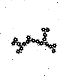 c1ccc(-n2c3ccccc3c3cc(-c4ccc(N(c5ccc(-c6ccc(-n7c8ccccc8c8ccccc87)cc6)cc5)c5ccc6oc7cc(-c8ccc(-n9c%10ccccc%10c%10cc(-c%11ccc(N(c%12ccc(-n%13c%14ccccc%14c%14ccccc%14%13)cc%12)c%12ccc%13oc%14ccccc%14c%13c%12)cc%11)ccc%109)cc8)ccc7c6c5)cc4)ccc32)cc1